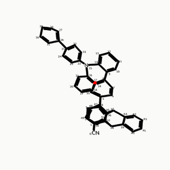 N#Cc1ccc(-c2ccc(-c3ccccc3N(c3ccccc3)c3ccc(-c4ccccc4)cc3)cc2)c2c1C1c3ccccc3C2c2ccccc21